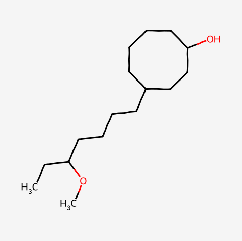 CCC(CCCCC1CCCCC(O)CC1)OC